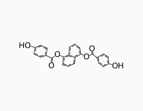 O=C(Oc1cccc2c(OC(=O)c3ccc(O)cc3)cccc12)c1ccc(O)cc1